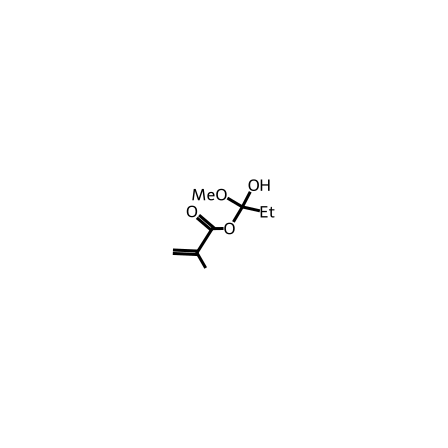 C=C(C)C(=O)OC(O)(CC)OC